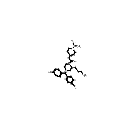 CCCC[C@H]1CN(C(c2ccc(F)cc2)c2ccc(F)cc2)CCN1C(=O)CC1CCN(B(C)O)CC1